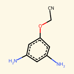 N#CCOc1cc(N)cc(N)c1